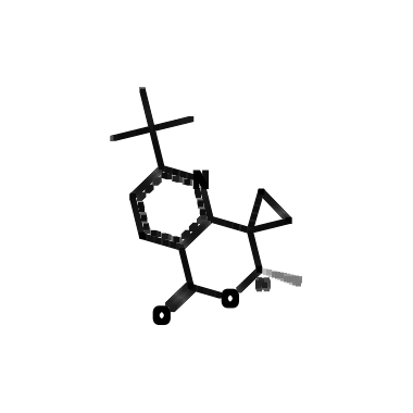 C[C@@H]1OC(=O)c2ccc(C(C)(C)C)nc2C12CC2